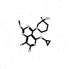 CSc1nc(N2CCC[C@@](C)(O)C2)c2c(OC3CC3)nc(Cl)c(F)c2n1